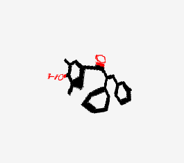 Cc1cc(C(=O)C(Cc2ccccc2)c2ccccc2)cc(C)c1O